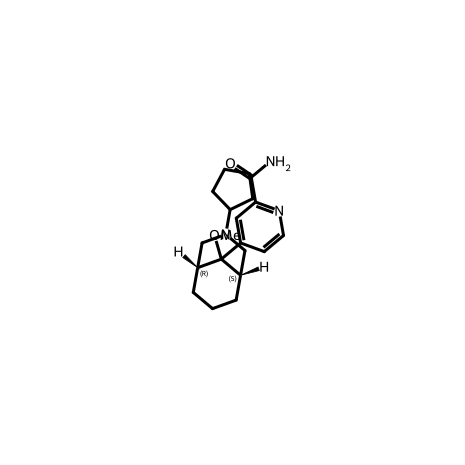 COC1(c2ccnc(C(N)=O)c2)[C@@H]2CCC[C@H]1CN(C1CCCC1)C2